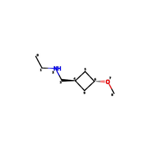 CCNC[C@H]1C[C@H](OC)C1